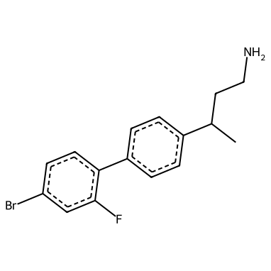 CC(CCN)c1ccc(-c2ccc(Br)cc2F)cc1